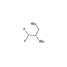 CC(C)(C)CC(C(F)F)C(C)(C)C